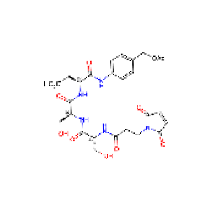 CC(=O)OCc1ccc(NC(=O)[C@H](CC(=O)O)NC(=O)[C@H](CO)NC(=O)[C@@H](CO)NC(=O)CCN2C(=O)C=CC2=O)cc1